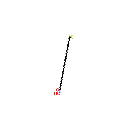 O=C(CCCCCCCCCCCCCCCCCCCCCCCCCCCCCCCCCCC(=S)S)NO